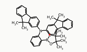 CC1(C)c2ccccc2-c2ccc(N(c3ccc4c(c3)C(C)(C)c3ccccc3-4)c3ccccc3B3OC(C)(C)C(C)(C)O3)cc21